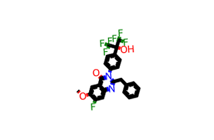 COc1cc2c(=O)n(-c3ccc(C(O)(C(F)(F)F)C(F)(F)F)cc3)c(Cc3ccccc3)nc2cc1F